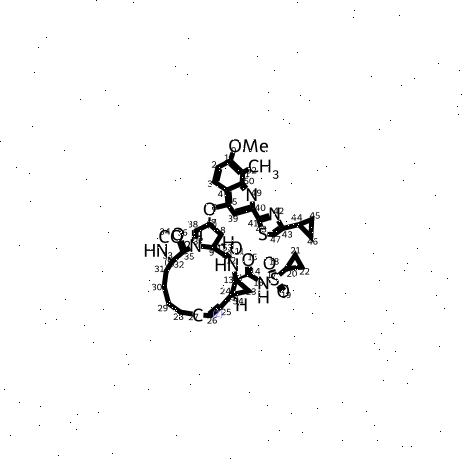 COc1ccc2c(O[C@@H]3C[C@H]4C(=O)N[C@]5(C(=O)NS(=O)(=O)C6CC6)C[C@H]5/C=C\CCCCC[C@H](NC(=O)O)C(=O)N4C3)cc(-c3nc(C4CC4)cs3)nc2c1C